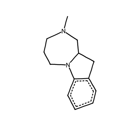 CN1CCCN2c3ccccc3CC2C1